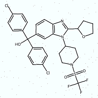 O=S(=O)(N1CCC(n2c(C3CCCO3)nc3ccc(C(O)(c4ccc(Cl)cc4)c4ccc(Cl)cc4)cc32)CC1)C(F)(F)F